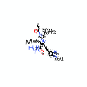 C=CC(=O)N1C[C@@H](n2nc(C#Cc3ccc4c(c3)ncn4C(C)(C)C)c(C(N)=O)c2NC)C[C@@H]1COC